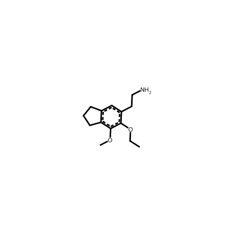 CCOc1c(CCN)cc2c(c1OC)CCC2